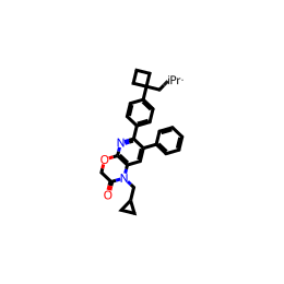 C[C](C)CC1(c2ccc(-c3nc4c(cc3-c3ccccc3)N(CC3CC3)C(=O)CO4)cc2)CCC1